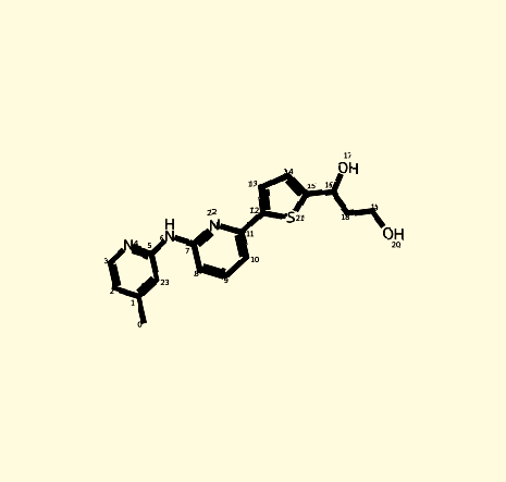 Cc1ccnc(Nc2cccc(-c3ccc(C(O)CCO)s3)n2)c1